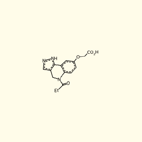 CCC(=O)N1Cc2cn[nH]c2-c2cc(OCC(=O)O)ccc21